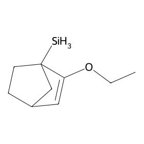 CCOC1=CC2CCC1([SiH3])C2